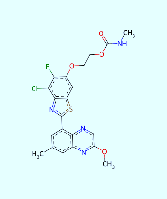 CNC(=O)OCCOc1cc2sc(-c3cc(C)cc4nc(OC)cnc34)nc2c(Cl)c1F